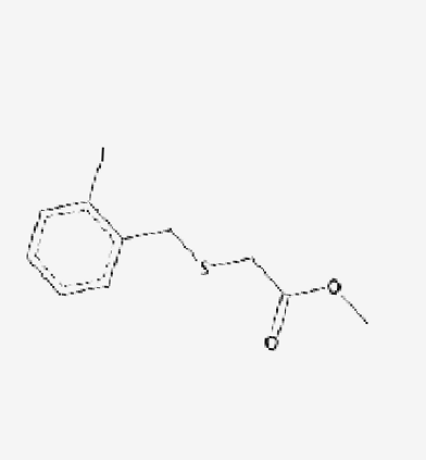 COC(=O)CSCc1ccccc1I